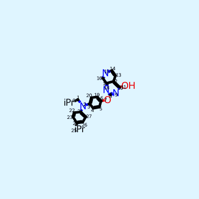 CC(C)CN(c1ccc(Oc2nc(O)c3ccncc3n2)cc1)c1ccc(C(C)C)cc1